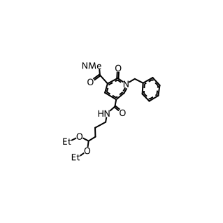 CCOC(CCCNC(=O)c1cc(C(=O)NC)c(=O)n(Cc2ccccc2)c1)OCC